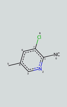 [C-]#[N+]c1ncc(C)cc1Cl